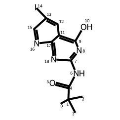 CC(C)(C)C(=O)Nc1nc(O)c2cc(I)cnc2n1